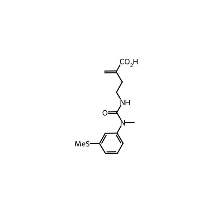 C=C(CCNC(=O)N(C)c1cccc(SC)c1)C(=O)O